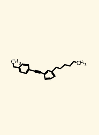 CCCCCCc1c[c]cc(C#Cc2ccc(CC)cc2)c1